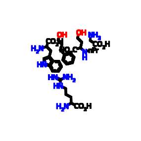 CCCNC(CCO)C(=O)O.N=C(N)NCCCC(N)C(=O)O.NC(Cc1c[nH]c2ccccc12)C(=O)O.NCC(=O)O.OCCCc1ccccc1